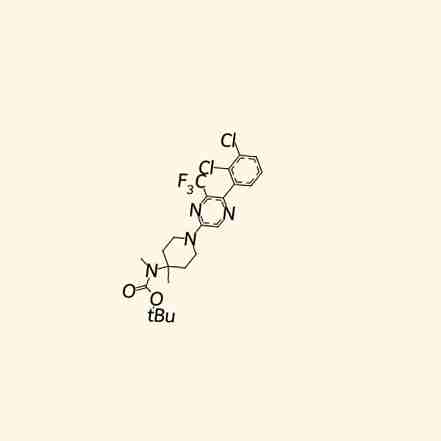 CN(C(=O)OC(C)(C)C)C1(C)CCN(c2cnc(-c3cccc(Cl)c3Cl)c(C(F)(F)F)n2)CC1